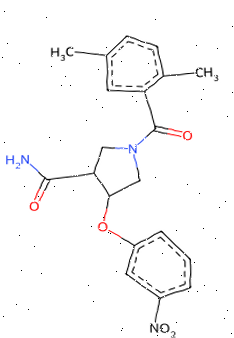 Cc1ccc(C)c(C(=O)N2CC(Oc3cccc([N+](=O)[O-])c3)C(C(N)=O)C2)c1